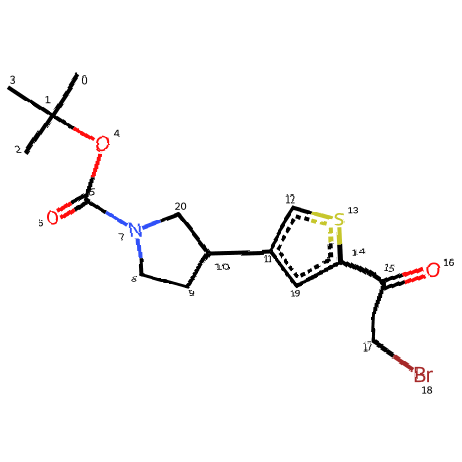 CC(C)(C)OC(=O)N1CCC(c2csc(C(=O)CBr)c2)C1